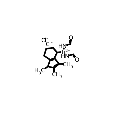 CC1=C(C)C(C)C2=C1[CH]([Ti+2]([NH]C=O)[NH]C=O)CCC2.[Cl-].[Cl-]